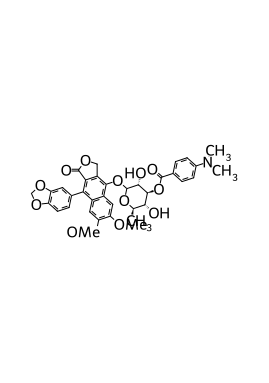 COc1cc2c(OC3O[C@H](C)[C@@H](O)[C@H](OC(=O)c4ccc(N(C)C)cc4)[C@H]3O)c3c(c(-c4ccc5c(c4)OCO5)c2cc1OC)C(=O)OC3